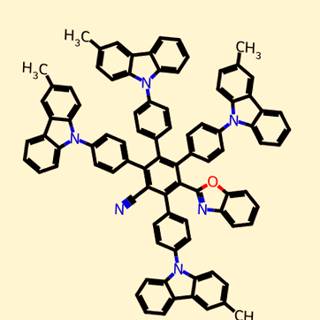 Cc1ccc2c(c1)c1ccccc1n2-c1ccc(-c2c(C#N)c(-c3ccc(-n4c5ccccc5c5cc(C)ccc54)cc3)c(-c3nc4ccccc4o3)c(-c3ccc(-n4c5ccccc5c5cc(C)ccc54)cc3)c2-c2ccc(-n3c4ccccc4c4cc(C)ccc43)cc2)cc1